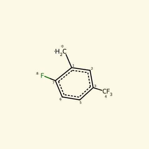 [CH2]c1cc(C(F)(F)F)ccc1F